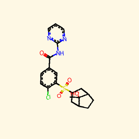 CC1(O)C2CCC1CC(S(=O)(=O)c1cc(C(=O)Nc3ncccn3)ccc1Cl)C2